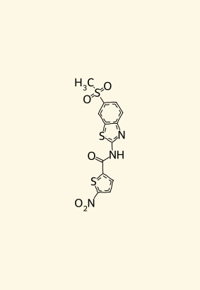 CS(=O)(=O)c1ccc2nc(NC(=O)c3ccc([N+](=O)[O-])s3)sc2c1